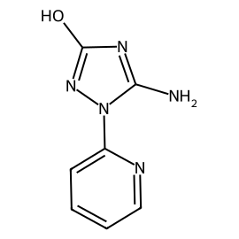 Nc1nc(O)nn1-c1ccccn1